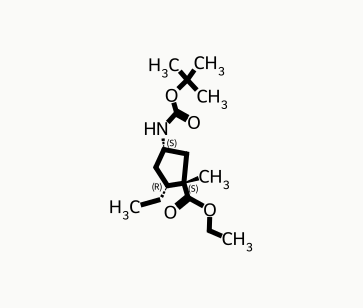 CCOC(=O)[C@@]1(C)C[C@@H](NC(=O)OC(C)(C)C)C[C@H]1CC